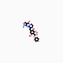 COc1cc(/C=C2\CCCn3c2nc2c(cnn2C)c3=O)c(Br)c(OC)c1C(=O)Oc1ccccc1